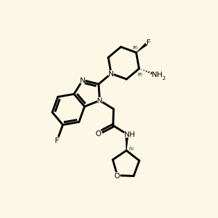 N[C@@H]1CN(c2nc3ccc(F)cc3n2CC(=O)N[C@H]2CCOC2)CC[C@H]1F